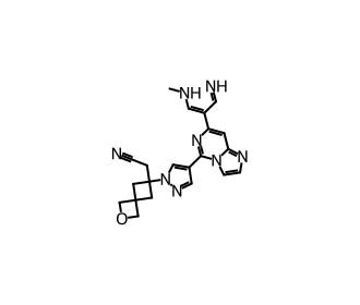 CN/C=C(\C=N)c1cc2nccn2c(-c2cnn(C3(CC#N)CC4(COC4)C3)c2)n1